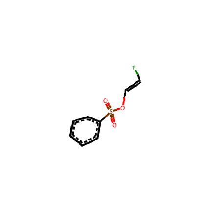 O=S(=O)(O/C=C/F)c1ccccc1